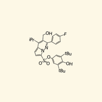 CC(C)c1c(CO)c(-c2ccc(F)cc2)nn2c(S(=O)(=O)Oc3cc(C(C)(C)C)c(O)c(C(C)(C)C)c3)ccc12